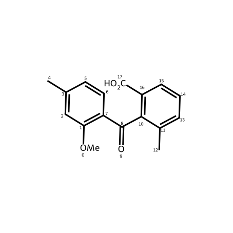 COc1cc(C)ccc1C(=O)c1c(C)cccc1C(=O)O